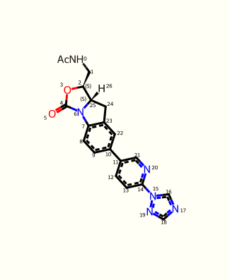 CC(=O)NC[C@@H]1OC(=O)N2c3ccc(-c4ccc(-n5cncn5)nc4)cc3C[C@@H]12